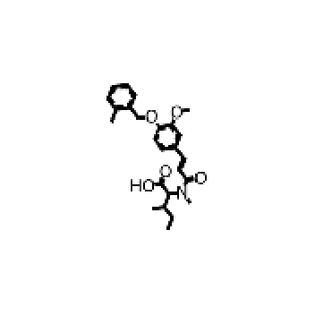 CCC(C)C(C(=O)O)N(C)C(=O)/C=C/c1ccc(OCc2ccccc2C)c(OC)c1